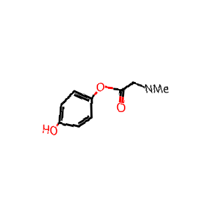 CNCC(=O)Oc1ccc(O)cc1